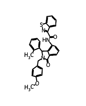 COc1ccc(CN2C(=O)c3cccc(NC(=O)c4nsc5ccccc45)c3C2c2ccccc2C)cc1